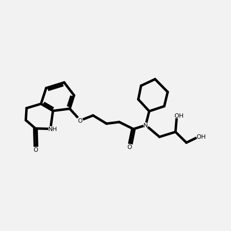 O=C1CCc2cccc(OCCCC(=O)N(CC(O)CO)C3CCCCC3)c2N1